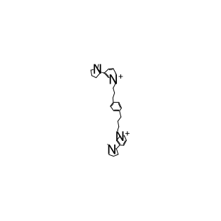 CN1CCCC1c1ccc[n+](CCCCc2ccc(CCCC[n+]3cccc([C@H]4CCCN4C)c3)cc2)c1